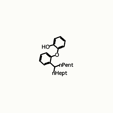 CCCCCCCC(CCCCC)c1ccccc1Oc1ccccc1O